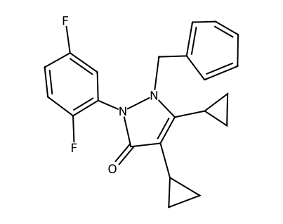 O=c1c(C2CC2)c(C2CC2)n(Cc2ccccc2)n1-c1cc(F)ccc1F